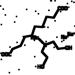 CCCCN(CCO)CCO.O=C([O-])CCCCCCCCC(=O)[O-].[Na+].[Na+]